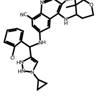 CC1(C)COCCC1Nc1c(C#N)cnc2c(C#N)cc(NC(C3=CN(C4CC4)NN3)c3ccccc3Cl)cc12